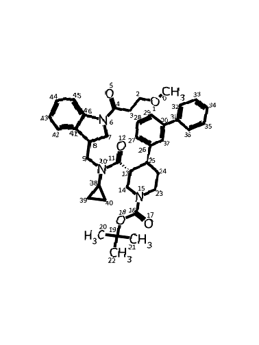 COCCC(=O)N1CC(CN(C(=O)[C@H]2CN(C(=O)OC(C)(C)C)CC[C@@H]2c2cccc(-c3ccccc3)c2)C2CC2)c2ccccc21